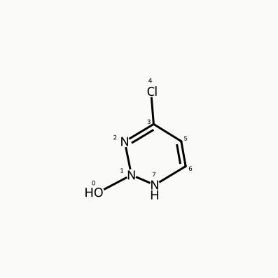 ON1N=C(Cl)C=CN1